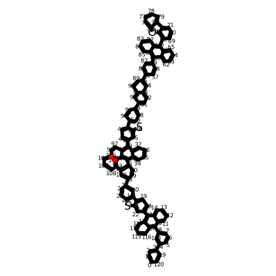 c1ccc(-c2cccc(-c3c4ccccc4c(-c4ccc5c(c4)sc4ccc(-c6ccc(-c7c8ccccc8c(-c8ccc9c(c8)sc8cc(-c%10ccc%11cc(-c%12ccc(-c%13c%14ccccc%14c(-c%14cccc%15c%14oc%14ccccc%14%15)c%14ccccc%13%14)cc%12)ccc%11c%10)ccc89)c8ccccc78)c(-c7ccccc7)c6)cc45)c4ccccc34)c2)cc1